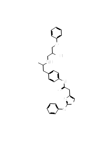 CC(Cc1ccc(NC(=O)Cc2csc(Nc3ccccc3)n2)cc1)NCC(O)COc1ccccc1